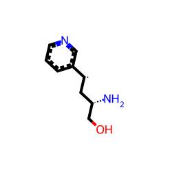 N[C@H](CO)C[CH]c1cccnc1